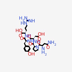 N=C(N)NCCC[C@H](NC(=O)[C@H](Cc1ccc(O)cc1)NC(=O)[C@H](CC(=O)O)NC(=O)[C@@H]1CCCN1C(=O)[C@@H](N)CC(N)=O)C(=O)O